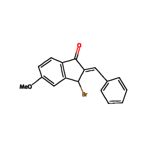 COc1ccc2c(c1)C(Br)/C(=C\c1ccccc1)C2=O